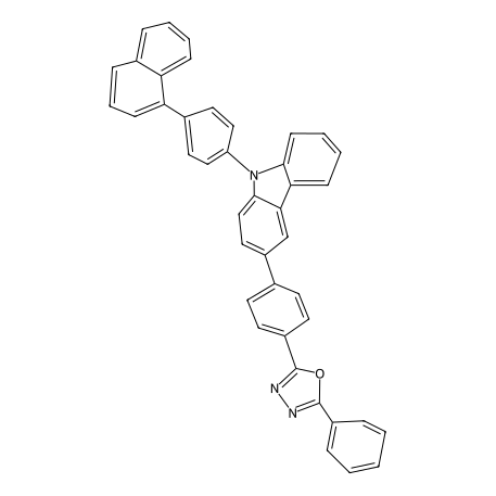 c1ccc(-c2nnc(-c3ccc(-c4ccc5c(c4)c4ccccc4n5-c4ccc(-c5cccc6ccccc56)cc4)cc3)o2)cc1